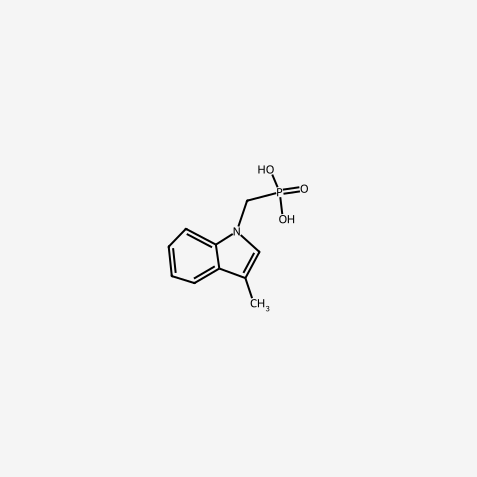 Cc1cn(CP(=O)(O)O)c2ccccc12